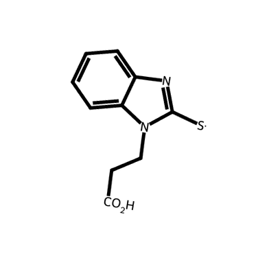 O=C(O)CCn1c([S])nc2ccccc21